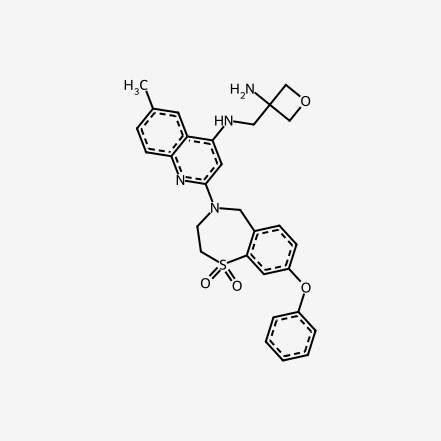 Cc1ccc2nc(N3CCS(=O)(=O)c4cc(Oc5ccccc5)ccc4C3)cc(NCC3(N)COC3)c2c1